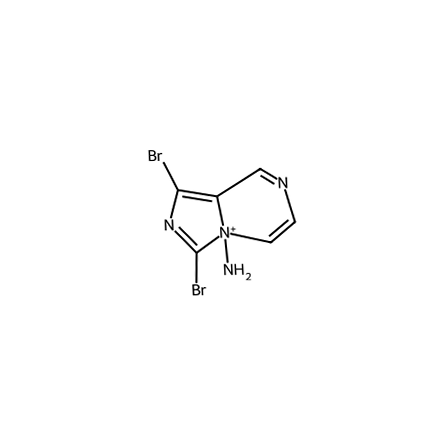 N[N+]12C=CN=CC1=C(Br)N=C2Br